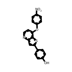 O=[N+]([O-])c1ccc(Oc2ccnc3cc(-c4ccc(O)cc4)sc23)cc1